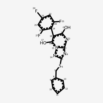 Oc1nc2nc(SCc3ccccc3)nn2c(O)c1-c1c(F)cc(F)cc1F